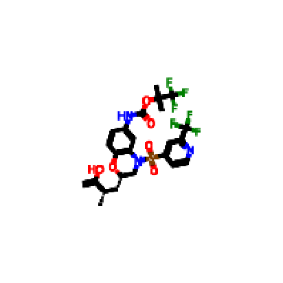 C=C(O)[C@@H](C)C[C@H]1CN(S(=O)(=O)c2ccnc(C(F)(F)F)c2)c2cc(NC(=O)OC(C)(C)C(F)(F)F)ccc2O1